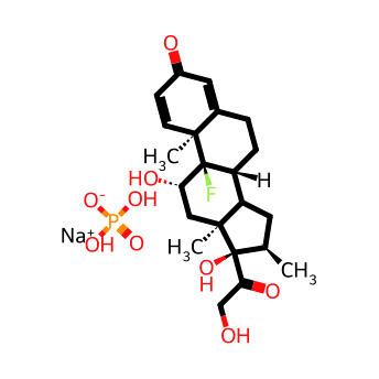 C[C@@H]1CC2[C@H]3CCC4=CC(=O)C=C[C@]4(C)[C@@]3(F)[C@@H](O)C[C@]2(C)[C@@]1(O)C(=O)CO.O=P([O-])(O)O.[Na+]